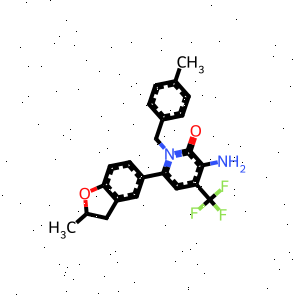 Cc1ccc(Cn2c(-c3ccc4c(c3)CC(C)O4)cc(C(F)(F)F)c(N)c2=O)cc1